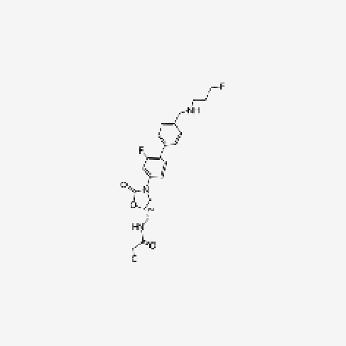 O=C(CCl)NC[C@H]1CN(c2ccc(-c3ccc(CNCCCF)cc3)c(F)c2)C(=O)O1